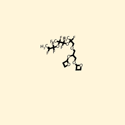 C=C(F)C(F)(F)OC(F)(C(F)(F)F)C(F)(F)OC(F)(COCC(COC1CCO1)OC1CCO1)C(F)(F)F